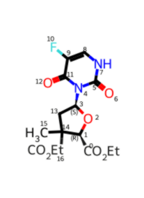 CCOC(=O)[C@@H]1O[C@H](n2c(=O)[nH]cc(F)c2=O)CC1(C)C(=O)OCC